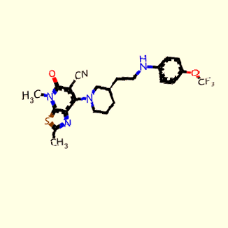 Cc1nc2c(N3CCC[C@H](CCNc4ccc(OC(F)(F)F)cc4)C3)c(C#N)c(=O)n(C)c2s1